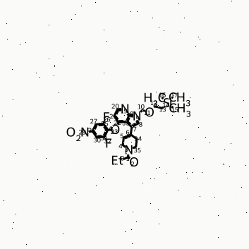 CCC(=O)N1CC=C(c2cn(COCC[Si](C)(C)C)c3nccc(Oc4c(F)cc([N+](=O)[O-])cc4F)c23)CC1